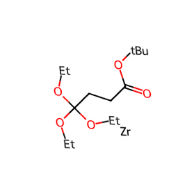 CCOC(CCC(=O)OC(C)(C)C)(OCC)OCC.[Zr]